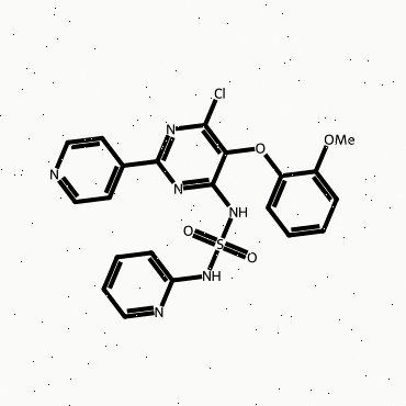 COc1ccccc1Oc1c(Cl)nc(-c2ccncc2)nc1NS(=O)(=O)Nc1ccccn1